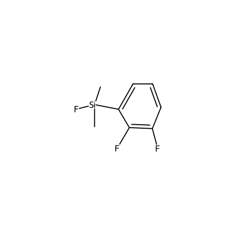 C[Si](C)(F)c1cccc(F)c1F